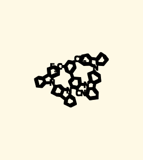 N#Cc1c(-n2c3ccccc3c3ccc(-n4c5ccccc5c5ccccc54)cc32)cc(-c2cc(C(F)(F)F)cc(C(F)(F)F)c2)cc1-n1c2ccccc2c2ccc(-n3c4ccccc4c4ccccc43)cc21